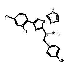 N[C@@H](Cc1ccc(O)cc1)c1nc(-c2ccc(Cl)cc2Cl)c[nH]1.c1c[nH]cn1